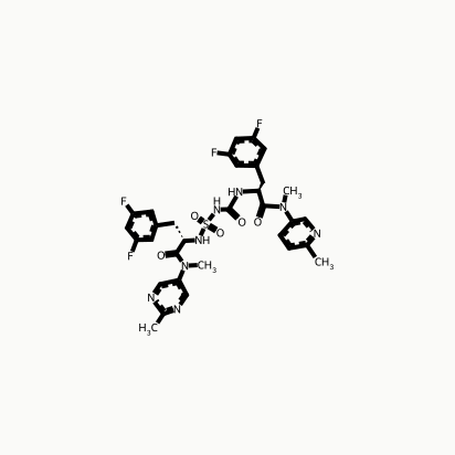 Cc1ccc(N(C)C(=O)[C@H](Cc2cc(F)cc(F)c2)NC(=O)NS(=O)(=O)N[C@@H](Cc2cc(F)cc(F)c2)C(=O)N(C)c2cnc(C)nc2)cn1